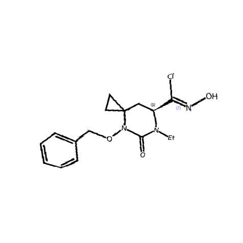 CCN1C(=O)N(OCc2ccccc2)C2(CC2)C[C@H]1/C(Cl)=N/O